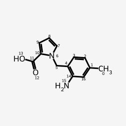 Cc1ccc(Cn2cccc2C(=O)O)c(N)c1